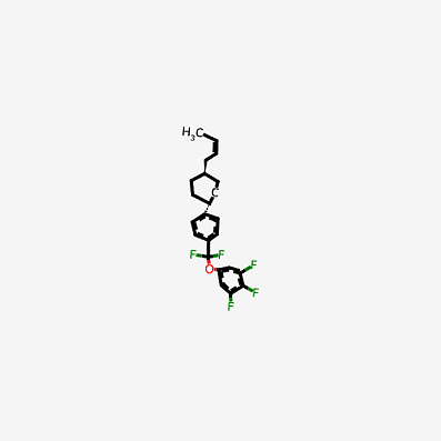 C/C=C\C[C@H]1CC[C@H](c2ccc(C(F)(F)Oc3cc(F)c(F)c(F)c3)cc2)CC1